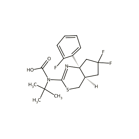 CC(C)(C)N(C(=O)O)C1=N[C@@]2(c3ccccc3F)CC(F)(F)C[C@H]2CS1